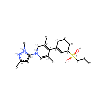 CCCS(=O)(=O)C1C=C(C2=C(C)CN(c3cc(C)nn3C)C=C2C)CCC1